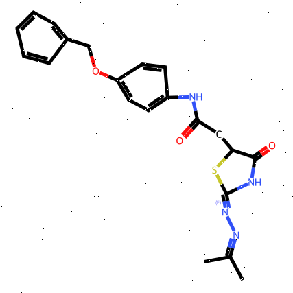 CC(C)=N/N=C1\NC(=O)C(CC(=O)Nc2ccc(OCc3ccccc3)cc2)S1